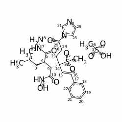 CC(C)C[C@@H](C(=O)NN)[C@@H](C(=O)NO)C(C=Cc1ccccc1)(CCC(=O)n1ccnc1)S(C)(=O)=O.CS(=O)(=O)O